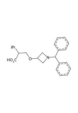 CC(C)C(COC1CN(C(c2ccccc2)c2ccccc2)C1)C(=O)O